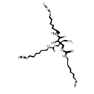 C=CC(COC(=O)NCCCCCCN=C=O)(COC(=O)NCCCCCCN=C=O)C(O)C(=O)NCCCCCCN=C=O